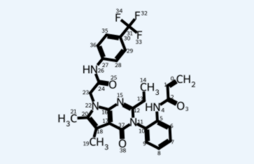 C=CC(=O)Nc1ccccc1-n1c(CC)nc2c(c(C)c(C)n2CC(=O)Nc2ccc(C(F)(F)F)cc2)c1=O